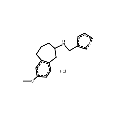 COc1ccc2c(c1)CCCC(NCc1ccccc1)C2.Cl